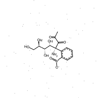 CC(=O)C(=O)[C@@](N)(c1ccccc1[N+](=O)[O-])[C@@H](O)[C@H](O)[C@H](O)CO